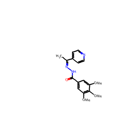 COc1cc(C(=O)NN=C(C)c2ccncc2)cc(OC)c1OC